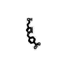 O=[N+]([O-])c1ccc(Cn2cc(CCO)nn2)cc1